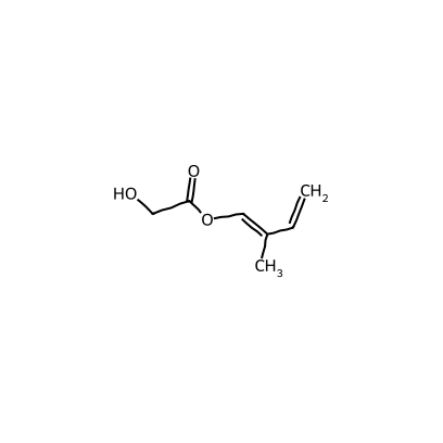 C=CC(C)=COC(=O)CO